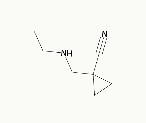 CCNCC1(C#N)CC1